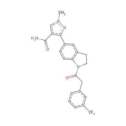 Cn1cc(C(N)=O)c(-c2ccc3c(c2)CCN3C(=O)Cc2cccc(C(F)(F)F)c2)n1